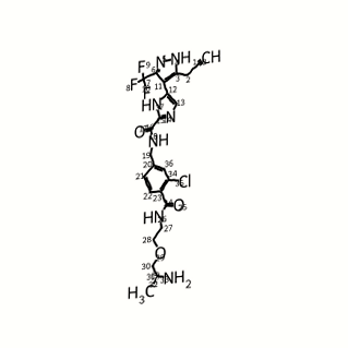 C#CCc1[nH]nc(C(F)(F)F)c1-c1cnc(C(=O)NCc2ccc(C(=O)NCCOC[C@H](C)N)c(Cl)c2)[nH]1